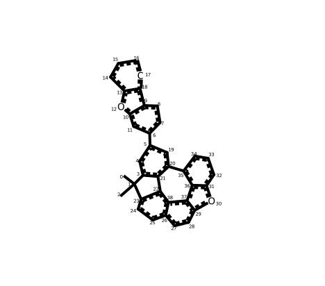 CC1(C)c2cc(-c3ccc4c(c3)oc3ccccc34)cc3c2-c2c1ccc1ccc4oc5cccc-3c5c4c21